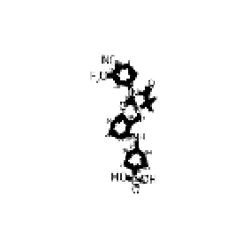 CC1(C)C(=O)N(c2ccc(C#N)c(C(F)(F)F)c2)C(=O)N1Cc1ccccc1Nc1ccc(P(=O)(O)O)cc1